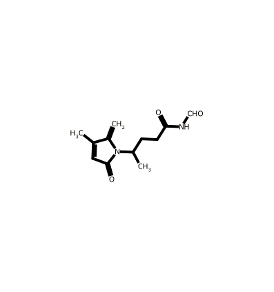 C=C1C(C)=CC(=O)N1C(C)CCC(=O)NC=O